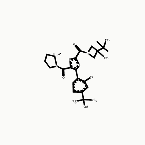 C[C@H]1CCCN1C(=O)c1nc(C(=O)N2CC(O)(C(C)(C)O)C2)sc1-c1ccc(C(O)(C(F)(F)F)C(F)(F)F)cc1Cl